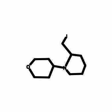 ICC1CCCCN1C1CCOCC1